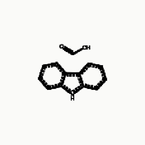 O=CO.c1ccc2c(c1)[nH]c1ccccc12